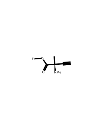 C#C[C@](C)(NC)C(=O)OCC